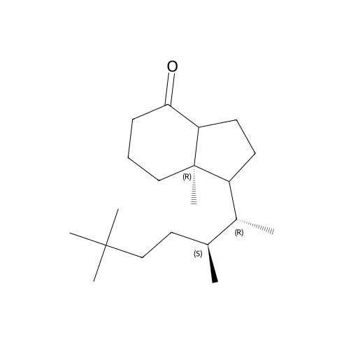 C[C@@H](CCC(C)(C)C)[C@@H](C)C1CCC2C(=O)CCC[C@@]21C